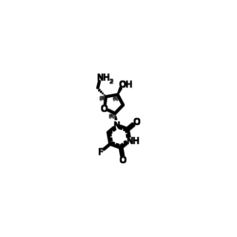 NC[C@H]1O[C@@H](n2cc(F)c(=O)[nH]c2=O)C[C@@H]1O